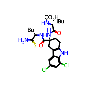 CC[C@H](C)C(NC(=O)O)C(=O)N[C@]1(C(=O)NC(C(N)=S)[C@@H](C)CC)CCc2[nH]c3c(Cl)cc(Cl)cc3c2C1